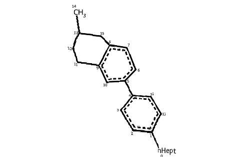 CCCCCCCc1ccc(-c2ccc3c(c2)CCC(C)C3)cc1